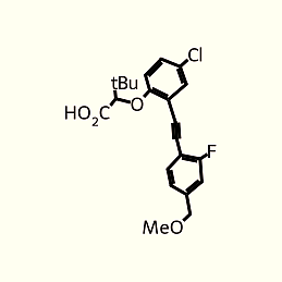 COCc1ccc(C#Cc2cc(Cl)ccc2OC(C(=O)O)C(C)(C)C)c(F)c1